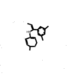 C/C=C(\NC1=CCCC(C)C=C1)c1cc(C)cc(C)c1